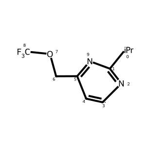 CC(C)c1n[c]cc(COC(F)(F)F)n1